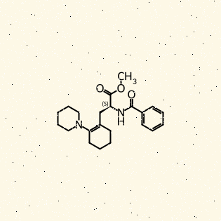 COC(=O)[C@H](CC1=C(N2CCCCC2)CCCC1)NC(=O)c1ccccc1